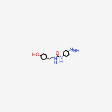 N=Nc1ccc(NC(=O)NCCc2ccc(O)cc2)cc1